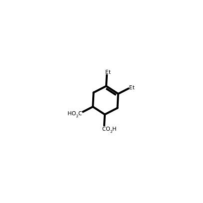 CCC1=C(CC)CC(C(=O)O)C(C(=O)O)C1